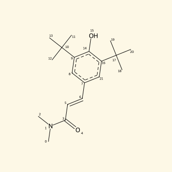 CN(C)C(=O)C=Cc1cc(C(C)(C)C)c(O)c(C(C)(C)C)c1